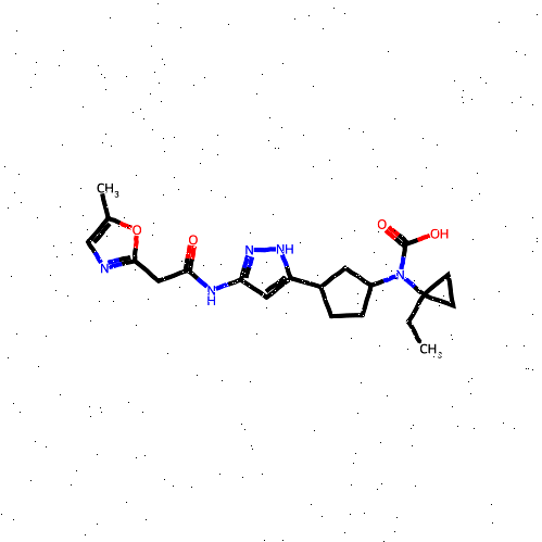 CCC1(N(C(=O)O)C2CCC(c3cc(NC(=O)Cc4ncc(C)o4)n[nH]3)C2)CC1